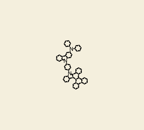 c1ccc(N(c2ccccc2)c2ccc3c(c2)c2ccccc2n3-c2ccc(-n3c4ccccc4c4c5c6ccccc6c6ccccc6c5c5ccccc5c43)cc2)cc1